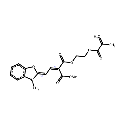 C=C(C)C(=O)OCCOC(=O)/C(=C/C=C1\Oc2ccccc2N1C)C(=O)OC